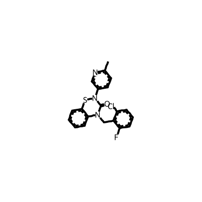 Cc1ccc(N2Sc3ccccc3N(Cc3c(F)cccc3Cl)C2=O)cn1